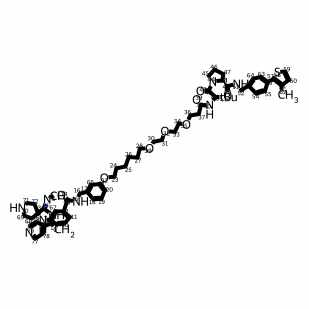 C=C(N/C(=N\C)C1(Nc2cccc(C(=O)NCc3cccc(OCCCCCCOCCOCCOCCC(=O)NC(C(=O)N4CCC[C@H]4C(=O)NCc4ccc(-c5sccc5C)cc4)C(C)(C)C)c3)c2)CCNCC1)c1ccncc1